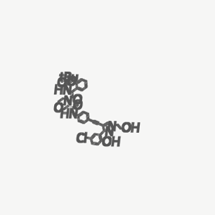 CC(C)(C)OC(=O)N[C@@H](C(=O)N1CCOC[C@H]1C(=O)Nc1ccc(C#Cc2cn(CCO)nc2-c2cc(Cl)ccc2O)cc1)c1ccccc1